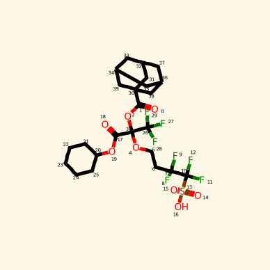 O=C(OC(OCCC(F)(F)C(F)(F)S(=O)(=O)O)(C(=O)OC1CCCCC1)C(F)(F)F)C12CC3CC(CC(C3)C1)C2